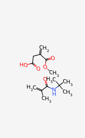 C=C(C)C(=O)NC(C)(C)C.C=C(CC(=O)O)C(=O)OC